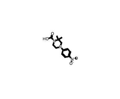 CC1(C)CN(c2ccc([N+](=O)[O-])cc2)CCN1C(=O)O